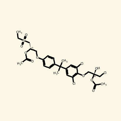 CCS(=O)(=O)C[C@H](COc1ccc(C(C)(C)c2cc(Cl)c(OC[C@](O)(CCl)OC(C)=O)c(Cl)c2)cc1)OC(C)=O